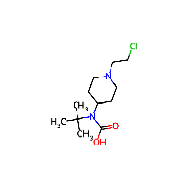 CC(C)(C)N(C(=O)O)C1CCN(CCCl)CC1